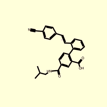 CC(C)CNC(=O)c1ccc(-c2ccccc2/C=C/c2ccc(C#N)cc2)c(C(=O)O)c1